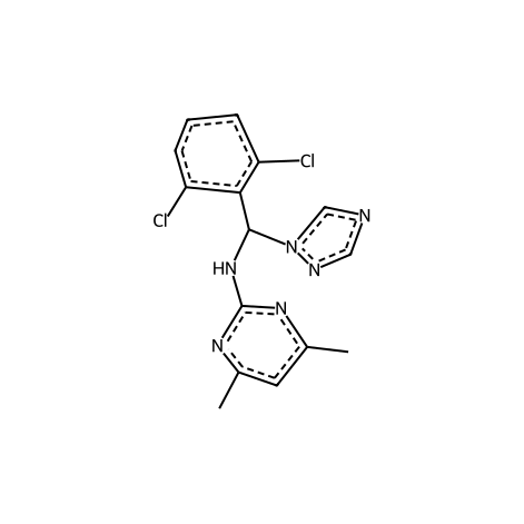 Cc1cc(C)nc(NC(c2c(Cl)cccc2Cl)n2cncn2)n1